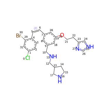 Clc1ccc(/C=C\c2cc(CNCC3CCNC3)cc(OCCc3c[nH]cn3)c2)c(Br)c1